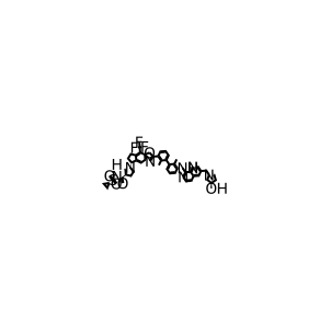 Cc1c(Nc2nccc3cc(CN4CC[C@@H](O)C4)cnc23)cccc1-c1cccc(-c2nc3cc4c(c(C(F)(F)F)c3o2)CC[C@H]4N2CC[C@@H](C(=O)NS(=O)(=O)C3CC3)C2)c1C